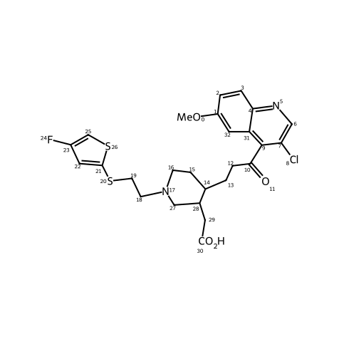 COc1ccc2ncc(Cl)c(C(=O)CCC3CCN(CCSc4cc(F)cs4)CC3CC(=O)O)c2c1